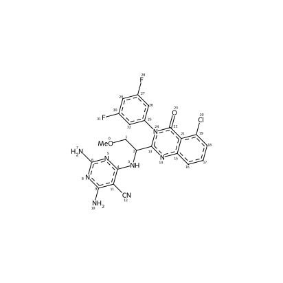 COCC(Nc1nc(N)nc(N)c1C#N)c1nc2cccc(Cl)c2c(=O)n1-c1cc(F)cc(F)c1